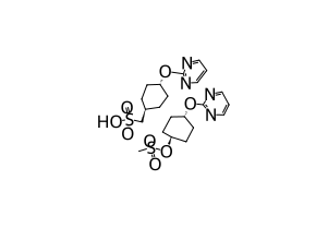 CS(=O)(=O)O[C@H]1CC[C@H](Oc2ncccn2)CC1.O=S(=O)(O)C[C@H]1CC[C@H](Oc2ncccn2)CC1